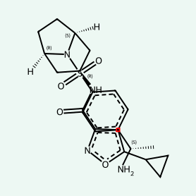 C[C@H](N)c1ccc(S(=O)(=O)N2[C@@H]3CC[C@H]2C[C@@H](NC(=O)c2cc(C4CC4)on2)C3)cc1